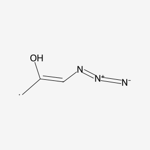 [CH2]C(O)=CN=[N+]=[N-]